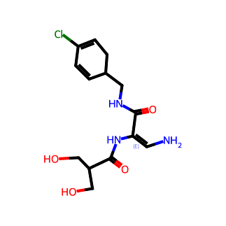 N/C=C(/NC(=O)C(CO)CO)C(=O)NCC1C=CC(Cl)=CC1